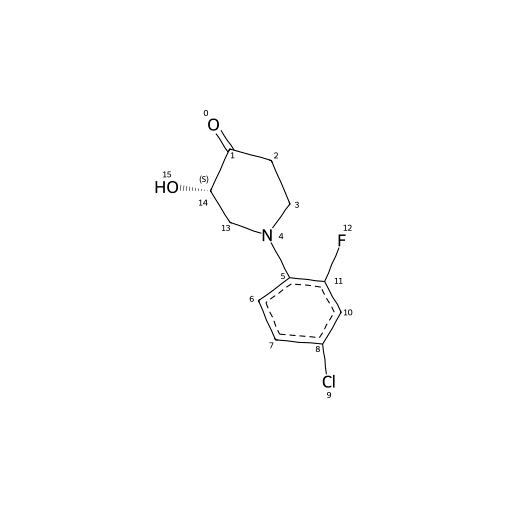 O=C1CCN(c2ccc(Cl)cc2F)C[C@@H]1O